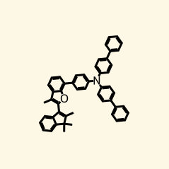 CC1=C(c2oc3c(-c4ccc(N(c5ccc(-c6ccccc6)cc5)c5ccc(-c6ccccc6)cc5)cc4)cccc3c2C)c2ccccc2C1(C)C